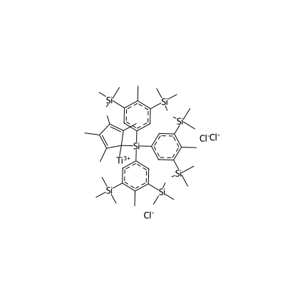 CC1=C(C)[C]([Ti+3])([Si](c2cc([Si](C)(C)C)c(C)c([Si](C)(C)C)c2)(c2cc([Si](C)(C)C)c(C)c([Si](C)(C)C)c2)c2cc([Si](C)(C)C)c(C)c([Si](C)(C)C)c2)C(C)=C1C.[Cl-].[Cl-].[Cl-]